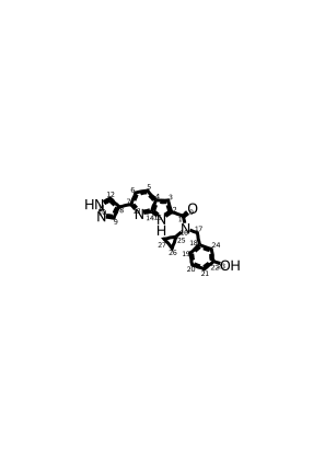 O=C(c1cc2ccc(-c3cn[nH]c3)nc2[nH]1)N(Cc1cccc(O)c1)C1CC1